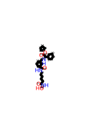 O=C(CCCCCNC(=O)c1cccc(CN[C@H](C(=O)OC2CCCC2)C2CCCCC2)c1)NO